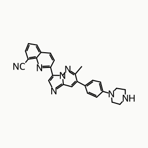 Cc1nn2c(-c3ccc4cccc(C#N)c4n3)cnc2cc1-c1ccc(N2CCNCC2)cc1